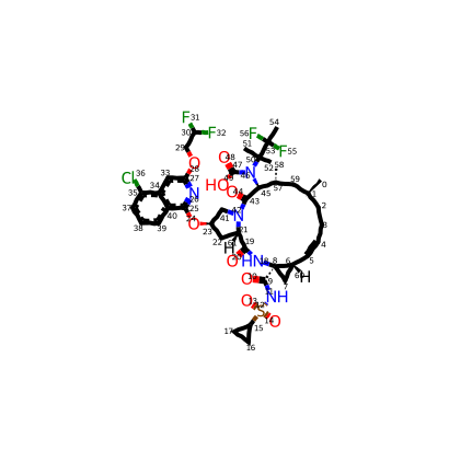 C[C@H]1CCC=C[C@@H]2C[C@@]2(C(=O)NS(=O)(=O)C2CC2)NC(=O)[C@@H]2C[C@@H](Oc3nc(OCC(F)F)cc4c(Cl)cccc34)CN2C(=O)[C@@H](N(C(=O)O)C(C)(C)C(C)(F)F)[C@H](C)C1